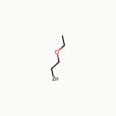 CCOC[CH2][Zn]